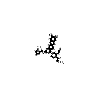 C=CC(=O)N1CCN(c2nc(OCC3CC(F)CN3C)nc3c2CCC2(Cc4cc(Cl)c(Cl)cc4C2)C3)CC1CC#N